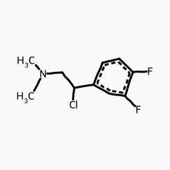 CN(C)CC(Cl)c1ccc(F)c(F)c1